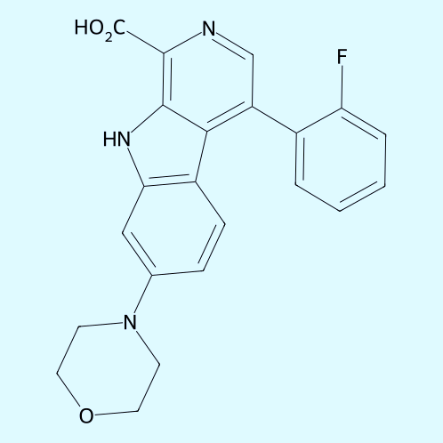 O=C(O)c1ncc(-c2ccccc2F)c2c1[nH]c1cc(N3CCOCC3)ccc12